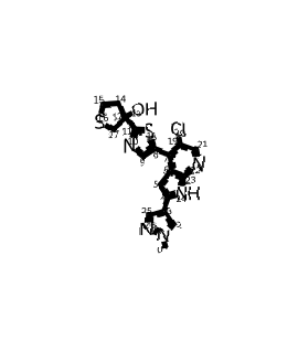 Cn1cc(-c2cc3c(-c4cnc(C5(O)CCSC5)s4)c(Cl)cnc3[nH]2)cn1